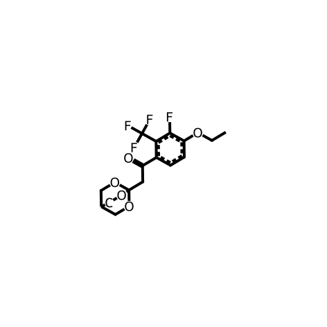 CCOc1ccc(C(=O)CC23OCC(CO2)CO3)c(C(F)(F)F)c1F